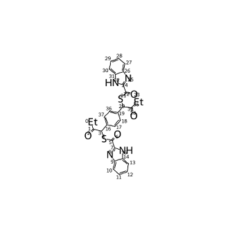 CCC(=O)C(SC(=O)c1nc2ccccc2[nH]1)c1ccc(C(SC(=O)c2nc3ccccc3[nH]2)C(=O)CC)cc1